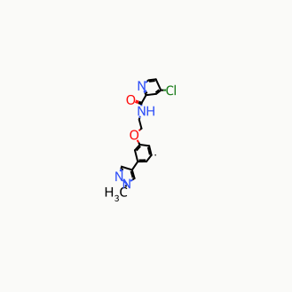 Cn1cc(-c2c[c]cc(OCCNC(=O)c3cc(Cl)ccn3)c2)cn1